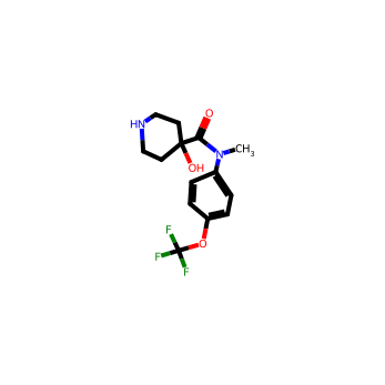 CN(C(=O)C1(O)CCNCC1)c1ccc(OC(F)(F)F)cc1